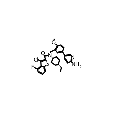 CC[C@H]1CC[C@H](N(Cc2cc(-c3ccc(N)nc3)ccc2OC)C(=O)c2sc3cccc(F)c3c2Cl)CC1